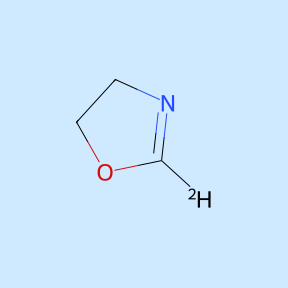 [2H]C1=NCCO1